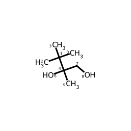 CC(C)(C)C(C)(O)CO